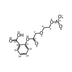 O=C(COCCO[N+](=O)[O-])Oc1ccccc1C(=O)O